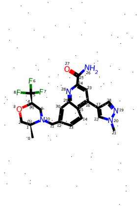 C[C@H]1CO[C@@H](C(F)(F)F)CN1Cc1ccc2c(-c3cnn(C)c3)cc(C(N)=O)nc2c1